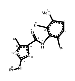 COc1ccc(C(C)=O)c(NC(=O)c2nc(NC(C)C)sc2C)c1Cl